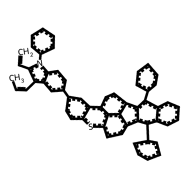 C=Cc1c(/C=C\C)c2cc(-c3ccc4sc5ccc6c7c(-c8ccccc8)c8ccccc8c(-c8ccccc8)c7c7ccc(c4c3)c5c67)ccc2n1-c1ccccc1